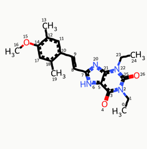 CCn1c(=O)c2[nH]c(/C=C/c3cc(C)c(OC)cc3C)nc2n(CC)c1=O